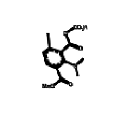 COC(=O)c1ccc(C)c(C(=O)OC(=O)O)c1N(C)C